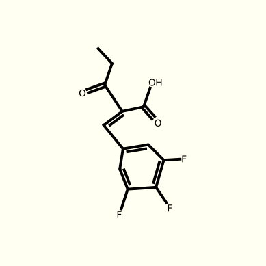 CCC(=O)C(=Cc1cc(F)c(F)c(F)c1)C(=O)O